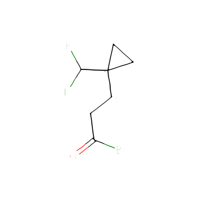 O=C(Br)CCC1(C(F)F)CC1